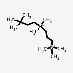 CC(C)(N)CC[N+](C)(C)CCC[N+](C)(C)C